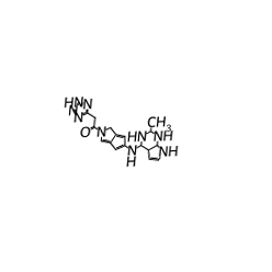 CC1NC2NC=CC2C(NC2=CC3=CN(C(=O)Cc4nn[nH]n4)CC3=C2)N1